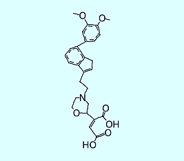 COc1ccc(-c2cccc3c2CC=C3CCN2CCOC(C(=CC(=O)O)C(=O)O)C2)cc1OC